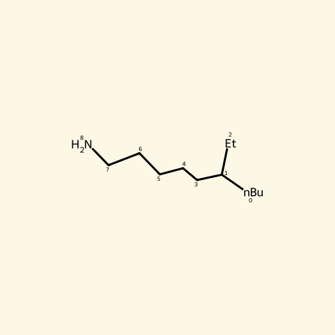 CCCCC(CC)CCCCCN